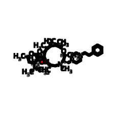 CO[C@]1(C)C[C@@H](C)CN(C)[C@@H](CN2CCN(CCc3ccccc3)CC2)[C@H](C)OC(=O)C(C)(C)C(=O)[C@H](C)[C@H]1O[C@@H]1O[C@H](C)C[C@H](N(C)C)[C@H]1O